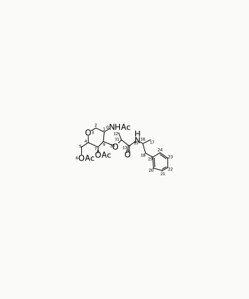 CC(=O)NC1COC(COC(C)=O)C(OC(C)=O)C1OC(C)C(=O)NC(C)Cc1ccccc1